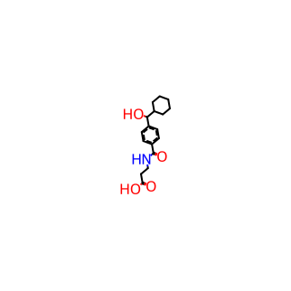 O=C(O)CCNC(=O)c1ccc(C(O)C2CCCCC2)cc1